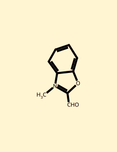 C[n+]1c(C=O)oc2ccccc21